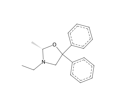 CCN1CC(c2ccccc2)(c2ccccc2)O[C@H]1C